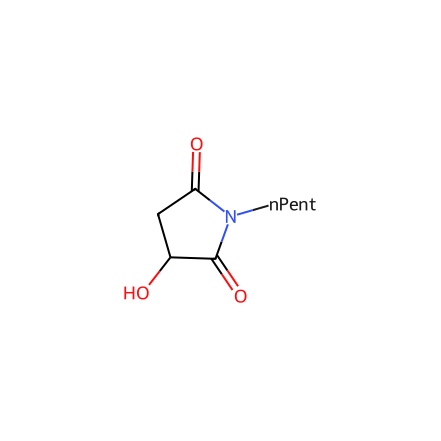 CCCCCN1C(=O)CC(O)C1=O